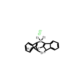 CC[Si]1(CC)C2=C(C)[CH]([Zr+2][CH]3C(C)=C1c1ccccc13)c1ccccc12.[Cl-].[Cl-]